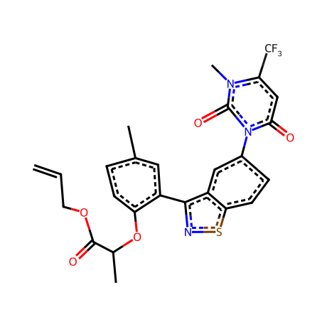 C=CCOC(=O)C(C)Oc1ccc(C)cc1-c1nsc2ccc(-n3c(=O)cc(C(F)(F)F)n(C)c3=O)cc12